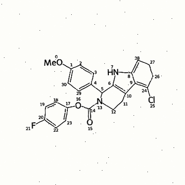 COc1ccc(C2c3[nH]c4c(c3CCN2C(=O)Oc2ccc(F)cc2)=C(Cl)CCC=4)cc1